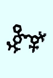 CC(=O)C(N(C)C)N1CCC(COCc2cc(C(F)(F)F)cc(C(F)(F)F)c2)(c2ccccc2)CC1